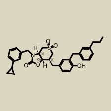 CCCc1cccc(Cc2cc(C[C@@H]3CS(=O)(=O)C[C@H]4[C@H]3OC(=O)N4Cc3cccc(C4CC4)c3)ccc2O)c1